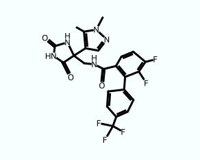 Cc1c(C2(CNC(=O)c3ccc(F)c(F)c3-c3ccc(C(F)(F)F)cc3)NC(=O)NC2=O)cnn1C